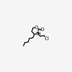 CCCCCC1CCO[PH](=O)N1CCCl